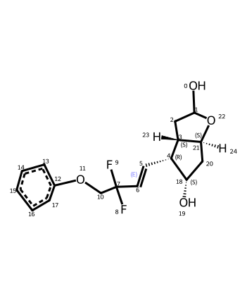 OC1C[C@H]2[C@@H](/C=C/C(F)(F)COc3ccccc3)[C@@H](O)C[C@@H]2O1